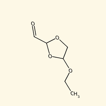 CCOC1COC(C=O)O1